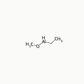 C[CH2][AlH][O]C